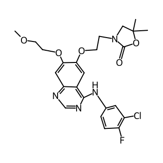 COCCOc1cc2ncnc(Nc3ccc(F)c(Cl)c3)c2cc1OCCN1CC(C)(C)OC1=O